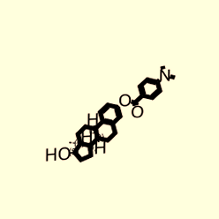 CN(C)c1ccc(C(=O)Oc2ccc3c(c2)CC[C@@H]2[C@@H]3CC[C@]3(C)[C@@H](O)CC[C@@H]23)cc1